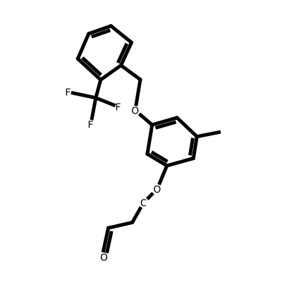 Cc1cc(OCCC=O)cc(OCc2ccccc2C(F)(F)F)c1